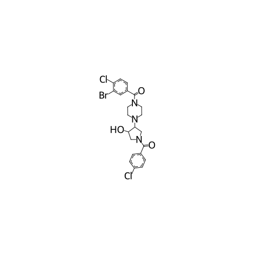 O=C(c1ccc(Cl)c(Br)c1)N1CCN(C2CN(C(=O)c3ccc(Cl)cc3)CC2O)CC1